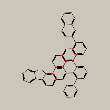 c1ccc(-c2ccccc2-c2c(-c3ccccc3)cccc2N(c2cccc(-c3ccc4ccccc4c3)c2)c2cccc(-c3cccc4c3sc3ccccc34)c2)cc1